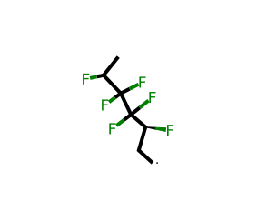 [CH2]C[C@H](F)C(F)(F)C(F)(F)C(C)F